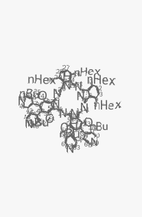 CCCCCCc1ccc(CCCCCC)c2c1-c1nc-2nc2[nH]c(nc3nc(nc4[nH]c(n1)c1c(CCCCCC)ccc(CCCCCC)c41)-c1c(OCCCC)c(-c4ccncc4)c(-c4ccncc4)c(OCCCC)c1-3)c1c(OCCCC)c(-c3ccncc3)c(-c3ccncc3)c(OCCCC)c21